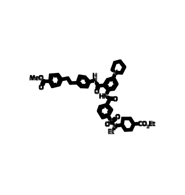 CCOC(=O)C1CCC(N(CC)S(=O)(=O)c2cccc(C(=O)Nc3ccc(N4CCCCC4)cc3C(=O)Nc3ccc(CCc4ccc(C(=O)OC)cc4)cc3)c2)CC1